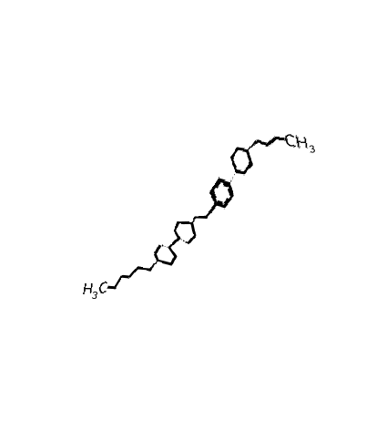 CCCCCC[C@H]1CC[C@H]([C@H]2CC[C@H](CCc3ccc([C@H]4CC[C@H](CCCC)CC4)cc3)CC2)CC1